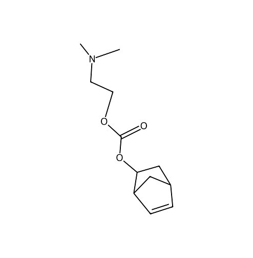 CN(C)CCOC(=O)OC1CC2C=CC1C2